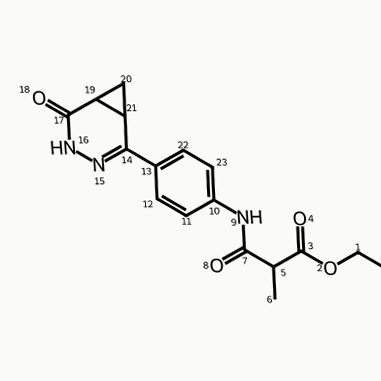 CCOC(=O)C(C)C(=O)Nc1ccc(C2=NNC(=O)C3CC23)cc1